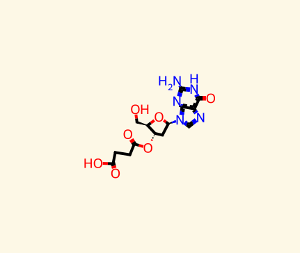 Nc1nc2c(ncn2[C@H]2C[C@H](OC(=O)CCC(=O)O)[C@@H](CO)O2)c(=O)[nH]1